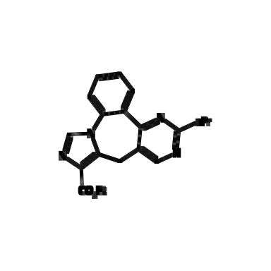 CCCc1ncc2c(n1)-c1ccccc1-n1cnc(C(=O)OCC)c1C2